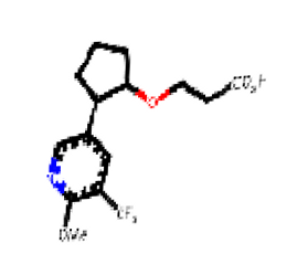 COc1ncc([C@H]2CCCC2OCCC(=O)O)cc1C(F)(F)F